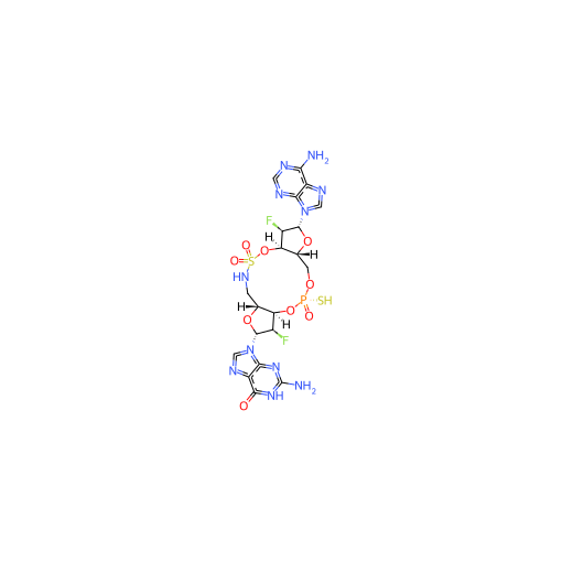 Nc1nc2c(ncn2[C@@H]2O[C@@H]3CNS(=O)(=O)O[C@H]4[C@@H](F)[C@H](n5cnc6c(N)ncnc65)O[C@@H]4CO[P@](=O)(S)O[C@H]3[C@H]2F)c(=O)[nH]1